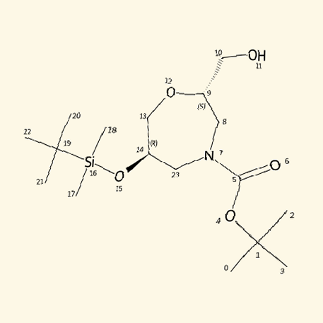 CC(C)(C)OC(=O)N1C[C@@H](CO)OC[C@H](O[Si](C)(C)C(C)(C)C)C1